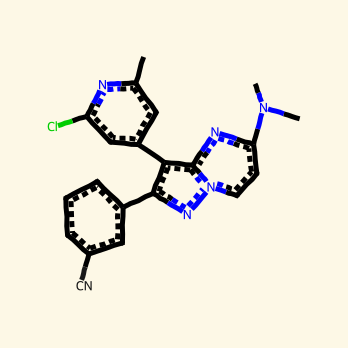 Cc1cc(-c2c(-c3cccc(C#N)c3)nn3ccc(N(C)C)nc23)cc(Cl)n1